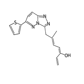 C=C/C(O)=C\C=C(/C)Cc1nnc2ccc(-c3cccs3)nn12